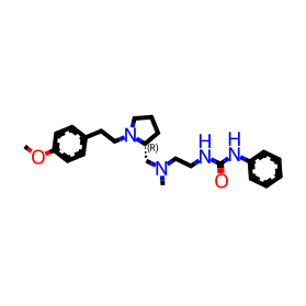 COc1ccc(CCN2CCC[C@@H]2CN(C)CCNC(=O)Nc2ccccc2)cc1